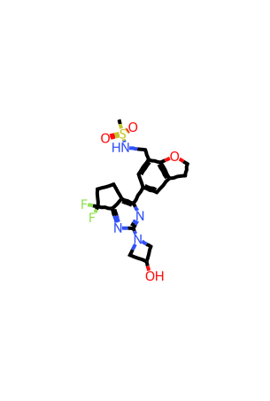 CS(=O)(=O)NCc1cc(-c2nc(N3CC(O)C3)nc3c2CCC3(F)F)cc2c1OCC2